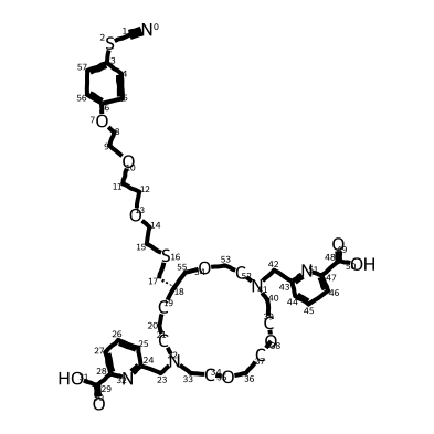 N#CSc1ccc(OCCOCCOCCSC[C@H]2CCCN(Cc3cccc(C(=O)O)n3)CCOCCOCCN(Cc3cccc(C(=O)O)n3)CCOC2)cc1